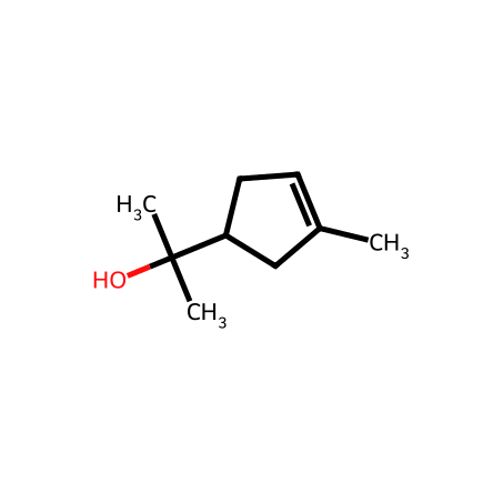 CC1=CCC(C(C)(C)O)C1